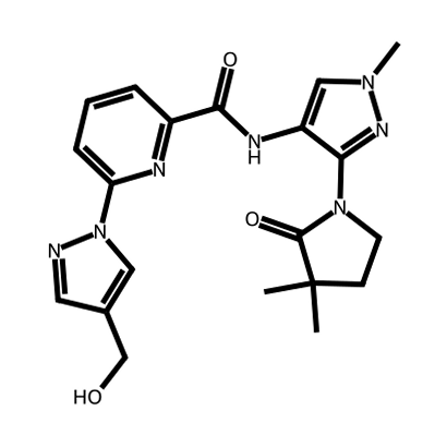 Cn1cc(NC(=O)c2cccc(-n3cc(CO)cn3)n2)c(N2CCC(C)(C)C2=O)n1